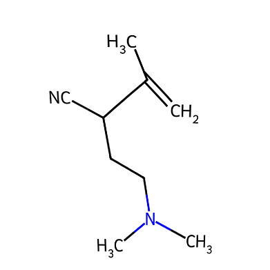 C=C(C)C(C#N)CCN(C)C